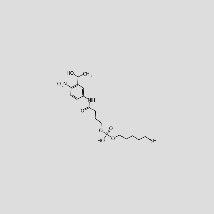 CC(O)c1cc(NC(=O)CCCOP(=O)(O)OCCCCCS)ccc1[N+](=O)[O-]